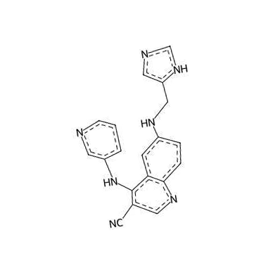 N#Cc1cnc2ccc(NCc3cnc[nH]3)cc2c1Nc1cccnc1